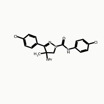 CCCC1(C)CN(C(=O)Nc2ccc(Cl)cc2)N=C1c1ccc(Cl)cc1